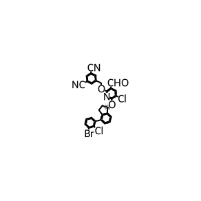 N#Cc1cc(C#N)cc(COc2nc(O[C@H]3CCc4c(-c5cccc(Br)c5Cl)cccc43)c(Cl)cc2C=O)c1